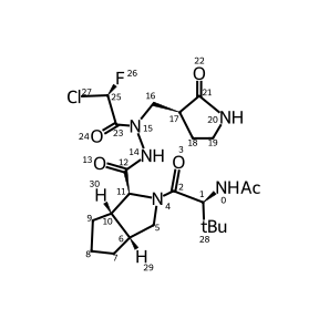 CC(=O)N[C@H](C(=O)N1C[C@@H]2CCC[C@@H]2[C@H]1C(=O)NN(C[C@@H]1CCNC1=O)C(=O)[C@H](F)Cl)C(C)(C)C